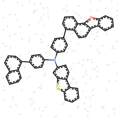 c1ccc2c(-c3ccc(N(c4ccc(-c5cccc6c5ccc5c7ccccc7oc65)cc4)c4ccc5c(c4)sc4ccccc45)cc3)cccc2c1